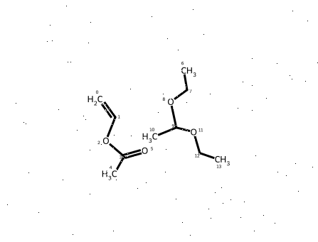 C=COC(C)=O.CCOC(C)OCC